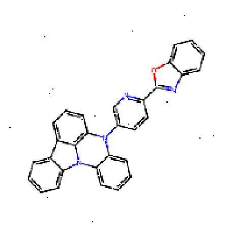 c1ccc2c(c1)N(c1ccc(-c3nc4ccccc4o3)nc1)c1cccc3c4ccccc4n-2c13